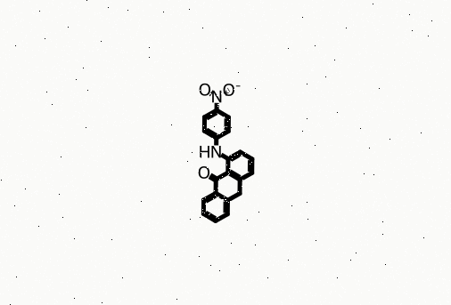 O=C1c2ccccc2Cc2cccc(Nc3ccc([N+](=O)[O-])cc3)c21